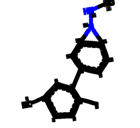 Cc1ccc(C#N)cc1-c1ccc2c(c1)N2NN=O